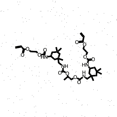 C=CC(=O)OCCOC(=O)NC1CC(C)(C)CC(C)(CNC(=O)OCC(C)OC(=O)NCC2(C)CC(NC(=O)OCCOC(=O)C=C)CC(C)(C)C2)C1